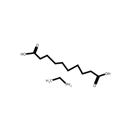 CCP.O=C(O)CCCCCCCCC(=O)O